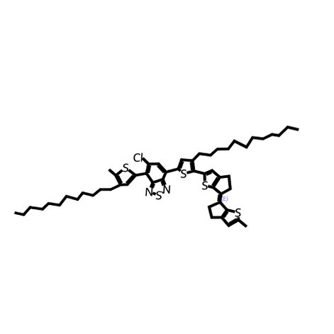 CCCCCCCCCCCCc1cc(-c2c(Cl)cc(-c3cc(CCCCCCCCCCCC)c(-c4cc5c(s4)/C(=C4\CCc6cc(C)sc64)CC5)s3)c3nsnc23)sc1C